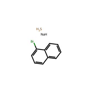 Brc1cccc2ccccc12.S.[NaH]